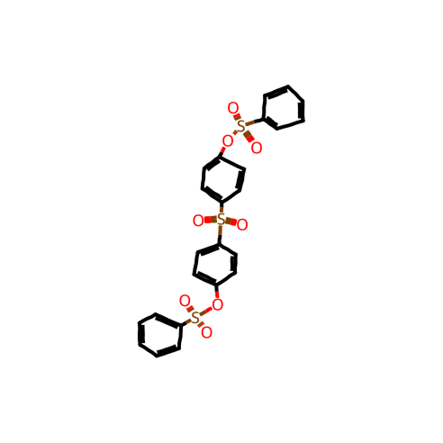 O=S(=O)(Oc1ccc(S(=O)(=O)c2ccc(OS(=O)(=O)c3ccccc3)cc2)cc1)c1ccccc1